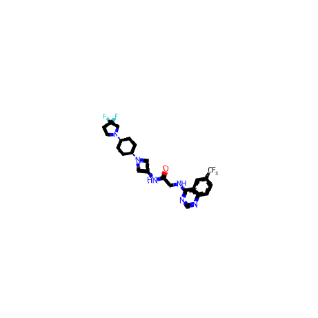 O=C(CNc1ncnc2ccc(C(F)(F)F)cc12)NC1CN([C@H]2CC[C@@H](N3CCC(F)(F)C3)CC2)C1